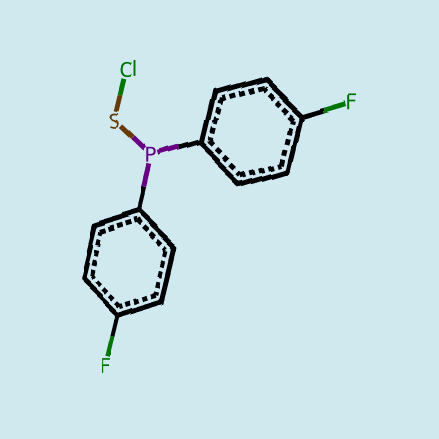 Fc1ccc(P(SCl)c2ccc(F)cc2)cc1